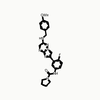 COc1ccc(CNc2cnc3nc(-c4cc(NC(=O)N5CCCC5)ccc4F)cn3n2)cc1